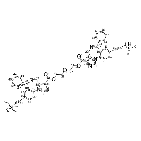 C[SiH](C)CC#Cc1ccc2c(c1)C(c1ccccc1)=NCc1c(C(=O)OCCOCCOC(=O)c3ncn4c3CN=C(c3ccccc3)c3cc(C#C[Si](C)(C)C)ccc3-4)ncn1-2